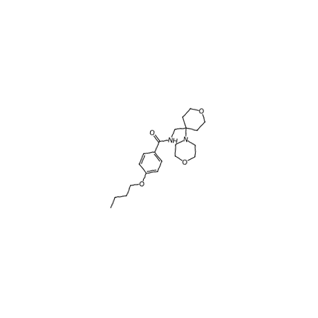 CCCCOc1ccc(C(=O)NCC2(N3CCOCC3)CCOCC2)cc1